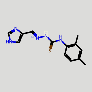 Cc1ccc(NC(=S)N/N=C/c2c[nH]cn2)c(C)c1